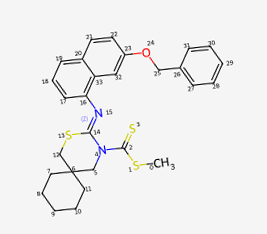 CSC(=S)N1CC2(CCCCC2)CS/C1=N\c1cccc2ccc(OCc3ccccc3)cc12